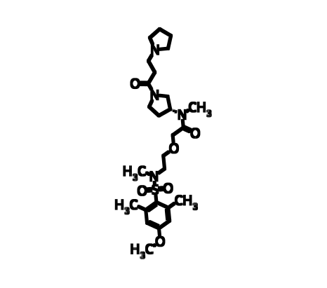 COc1cc(C)c(S(=O)(=O)N(C)CCOCC(=O)N(C)[C@@H]2CCN(C(=O)CCN3CCCC3)C2)c(C)c1